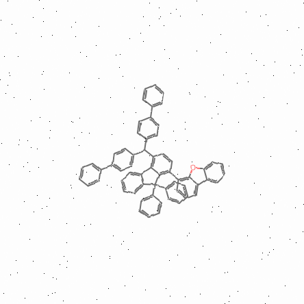 c1ccc(-c2ccc(C(c3ccc(-c4ccccc4)cc3)c3ccc(-c4cccc5c4oc4ccccc45)c4c3-c3ccccc3C4(c3ccccc3)c3ccccc3)cc2)cc1